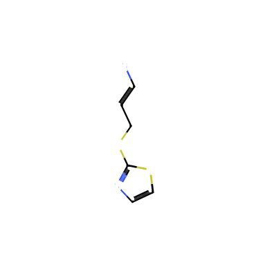 NC=CCSc1nccs1